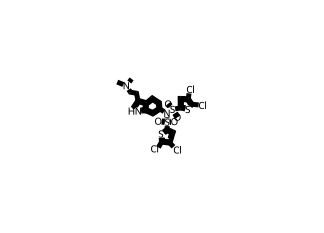 CN(C)CCc1c[nH]c2cc(N(S(=O)(=O)c3cc(Cl)c(Cl)s3)S(=O)(=O)c3cc(Cl)c(Cl)s3)ccc12